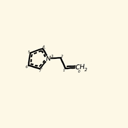 C=CCn1[c]cc[c]1